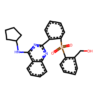 O=S(=O)(c1ccccc1CO)c1ccccc1-c1nc(NC2CCCC2)c2ccccc2n1